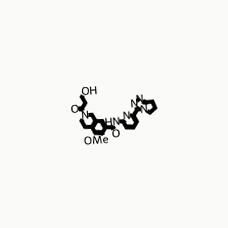 COc1cc2c(cc1C(=O)Nc1cccc(-c3nnc4n3CCC4)n1)CN(C(=O)CCO)CC2